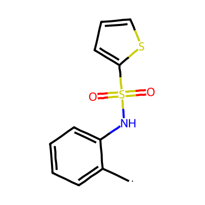 [CH2]c1ccccc1NS(=O)(=O)c1cccs1